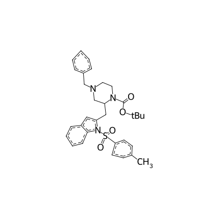 Cc1ccc(S(=O)(=O)n2c(CC3CN(Cc4ccccc4)CCN3C(=O)OC(C)(C)C)cc3ccccc32)cc1